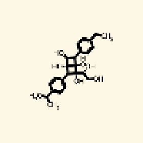 CCc1ccc(C2C(O)[C@@]3(O)C(c4ccc(C(C)C)cc4)[C@@](O)([C@H](O)CO)[C@@]23O)cc1